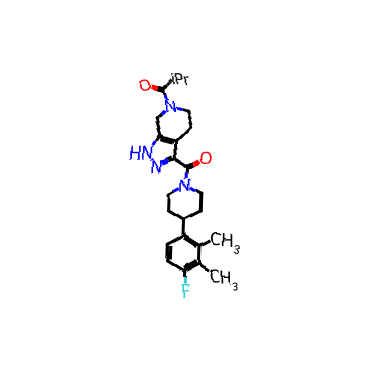 Cc1c(F)ccc(C2CCN(C(=O)c3n[nH]c4c3CCN(C(=O)C(C)C)C4)CC2)c1C